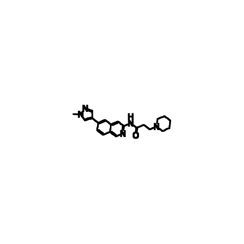 Cn1cc(-c2ccc3cnc(NC(=O)CCN4CCCCC4)cc3c2)cn1